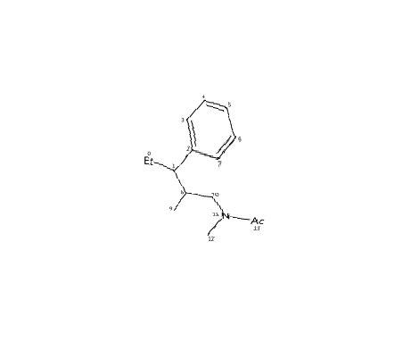 CCC(c1ccccc1)C(C)CN(C)C(C)=O